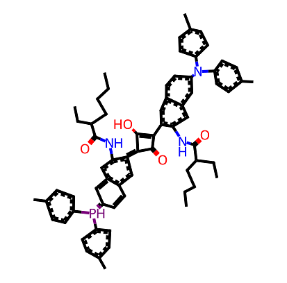 CCCCC(CC)C(=O)Nc1cc2cc(N(c3ccc(C)cc3)c3ccc(C)cc3)ccc2cc1C1=C(O)/C(=c2/cc3c(cc2NC(=O)C(CC)CCCC)=CC(=[PH](c2ccc(C)cc2)c2ccc(C)cc2)C=C3)C1=O